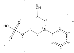 O=S(=O)(O)OCCN(CCO)c1ccccc1